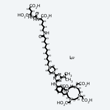 CN(C)c1nc(Nc2ccc(CC3CN(CC(=O)O)CCN(CC(=O)O)CCN(CC(=O)O)CCN3CC(=O)O)cc2)nc(N2CCN(CCCCCCCCCCC(=O)NCCCC[C@H](NC(=O)N[C@@H](CCC(=O)O)C(=O)O)C(=O)O)CC2)n1.[Lu]